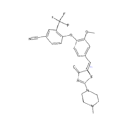 COc1cc(/C=C2/SC(N3CCN(C)CC3)=NC2=O)ccc1Oc1ccc(C#N)cc1C(F)(F)F